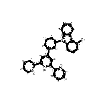 Brc1cccc2c1c1ccccc1n2-c1cccc(-c2cc(-c3ccccn3)nc(-c3ccccn3)c2)c1